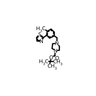 Cc1ccc(CN2CCN(C(=O)OC(C)(C)C)CC2)cc1-c1nccs1